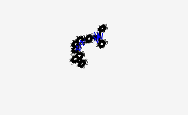 c1ccc(-c2nc(-c3ccccc3)nc(-c3ccc(-c4ccc5ccc6ccc(-c7ccc8c9c(cccc79)-c7ccccc7-8)nc6c5n4)cc3)n2)cc1